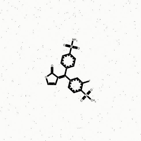 CS(=O)(=O)c1ccc(C(=C2C=COC2=O)c2ccc(S(N)(=O)=O)cc2)cc1F